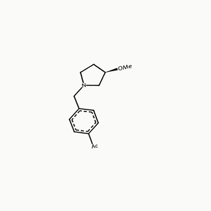 CO[C@@H]1CCN(Cc2ccc(C(C)=O)cc2)C1